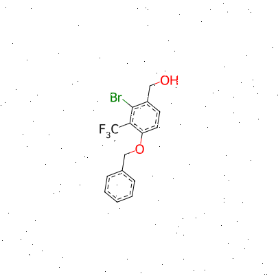 OCc1ccc(OCc2ccccc2)c(C(F)(F)F)c1Br